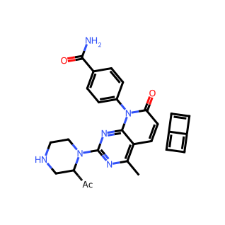 CC(=O)C1CNCCN1c1nc(C)c2ccc(=O)n(-c3ccc(C(N)=O)cc3)c2n1.c1cc2ccc1-2